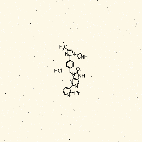 CC(C)c1ncccc1-c1ncc2[nH]c(=O)n(Cc3ccc(-c4nc(C(F)(F)F)cn4C4CNC4)cc3)c2n1.Cl